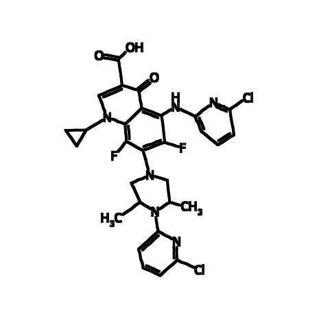 CC1CN(c2c(F)c(Nc3cccc(Cl)n3)c3c(=O)c(C(=O)O)cn(C4CC4)c3c2F)CC(C)N1c1cccc(Cl)n1